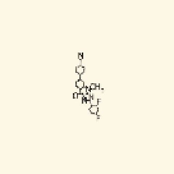 Cn1c2cc(-c3ccc(C#N)cc3)ccc2c(=O)n2nc(-c3ccc(F)cc3F)nc12